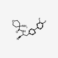 N#CC(Cc1ccc(-c2ccc(F)c(F)c2)cc1)NC(=O)C1(N)CCOCC1